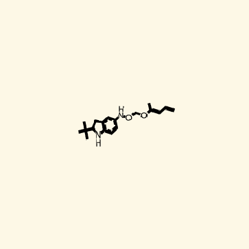 C=C/C=C(\C)OCONc1ccc2c(c1)CC(C(C)(C)C)N2